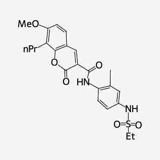 CCCc1c(OC)ccc2cc(C(=O)Nc3ccc(NS(=O)(=O)CC)cc3C)c(=O)oc12